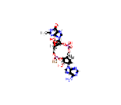 Cc1nc2c(ncn2[C@@H]2O[C@@H]3CO[P@@](=O)(S)O[C@@H]4[C@@H](COP(=O)(O)O[C@@H]2[C@@H]3CO)[C@@H]2C[C@@]2(n2cnc3c(N)ncnc32)[C@@H]4O)c(=O)[nH]1